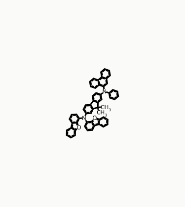 CC1(C)c2cc(N(c3ccccc3)c3cc4ccccc4c4ccccc34)ccc2-c2ccc(N(c3cccc4c3oc3ccccc34)c3cccc4c3oc3ccccc34)cc21